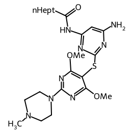 CCCCCCCC(=O)Nc1cc(N)nc(Sc2c(OC)nc(N3CCN(C)CC3)nc2OC)n1